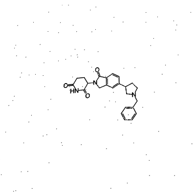 O=C1CCC(N2Cc3cc(C4CCN(Cc5ccccc5)C4)ccc3C2=O)C(=O)N1